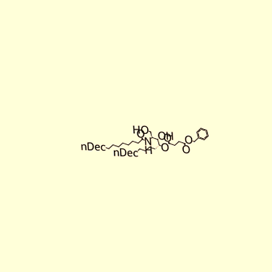 CCCCCCCCCCCCCCCCCC(=O)N[C@@H](CO)[C@H](O)[C@@H](CCCCCCCCCCCCCC)OC(=O)CCC(=O)OCc1ccccc1